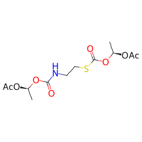 CC(=O)O[C@H](C)OC(=O)NCCSC(=O)O[C@@H](C)OC(C)=O